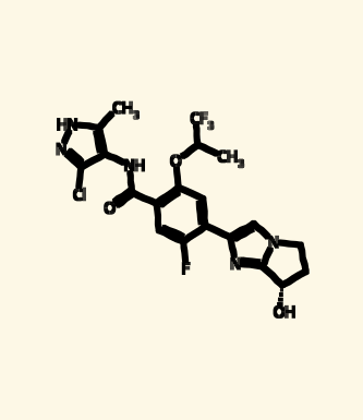 Cc1[nH]nc(Cl)c1NC(=O)c1cc(F)c(-c2cn3c(n2)[C@@H](O)CC3)cc1OC(C)C(F)(F)F